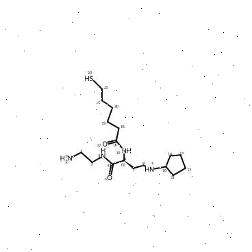 NCCNC(=O)[C@H](CCNC1CCCC1)NC(=O)CCCCCS